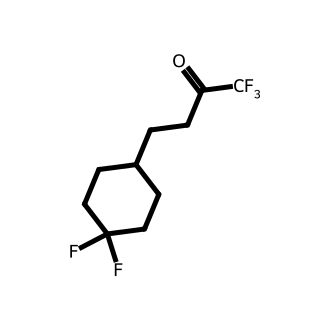 O=C(CCC1CCC(F)(F)CC1)C(F)(F)F